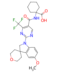 COc1ccc2c(c1)C1(CCOCC1)CN2c1ncc(C(=O)NC2(C(=O)O)CCCCC2)c(C(F)(F)F)n1